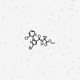 CCOC(=O)C1(NC(=O)c2cc(Br)nn2-c2ncccc2Cl)CC1